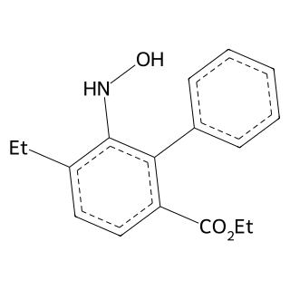 CCOC(=O)c1ccc(CC)c(NO)c1-c1ccccc1